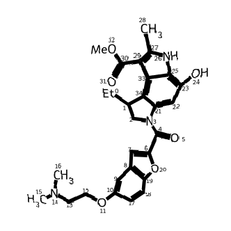 CCC1CN(C(=O)c2cc3cc(OCCN(C)C)ccc3o2)c2cc(O)c3[nH]c(C)c(C(=O)OC)c3c21